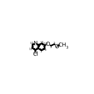 COCCOc1ccc2c(Cl)ccnc2c1